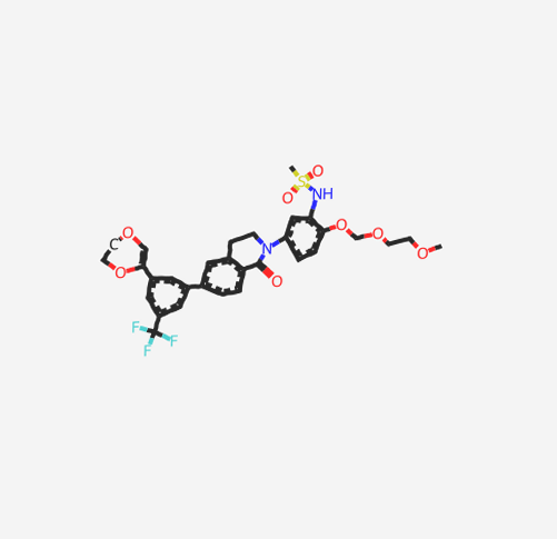 COCCOCOc1ccc(N2CCc3cc(-c4cc(C5=COCCO5)cc(C(F)(F)F)c4)ccc3C2=O)cc1NS(C)(=O)=O